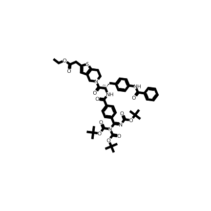 CCOC(=O)Cc1cc2c(s1)CCN(C(=O)[C@H](Cc1ccc(NC(=O)c3ccccc3)cc1)NC(=O)c1ccc(C(=NC(=O)OC(C)(C)C)N(C(=O)OC(C)(C)C)C(=O)OC(C)(C)C)cc1)C2